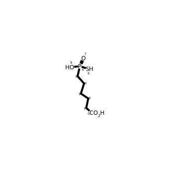 O=C(O)CCCCCP(=O)(O)S